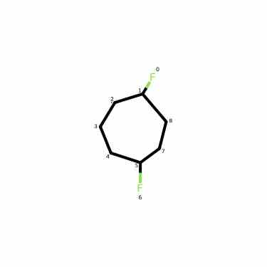 FC1[CH]CCC(F)CC1